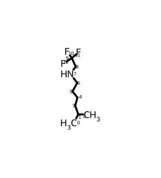 CC(C)CCCCNCC(F)(F)F